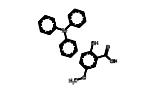 COc1ccc(O)c(C(=O)O)c1.c1cc[c]([Sn]([c]2ccccc2)[c]2ccccc2)cc1